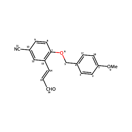 COc1ccc(COc2ccc(C#N)cc2C=CC=O)cc1